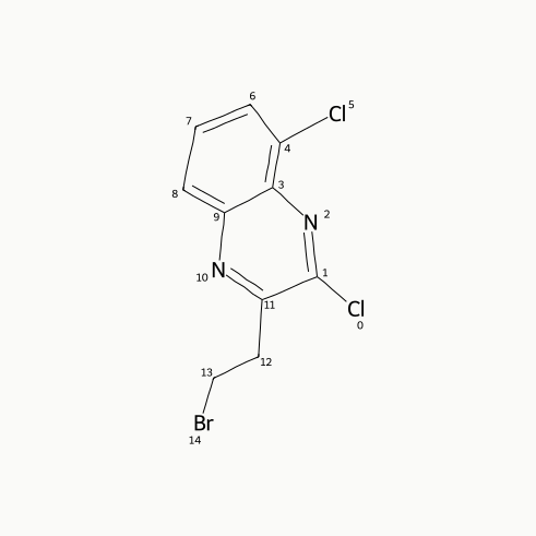 Clc1nc2c(Cl)cccc2nc1CCBr